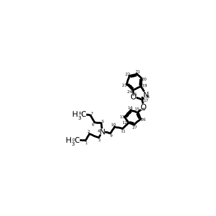 CCCCN(CCCC)CCCc1ccc(Oc2nc3ccccc3o2)cc1